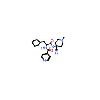 CN1CCC(C#N)(NC(=O)C(CC2CCCCC2)NC(=O)c2ccncc2)CC1